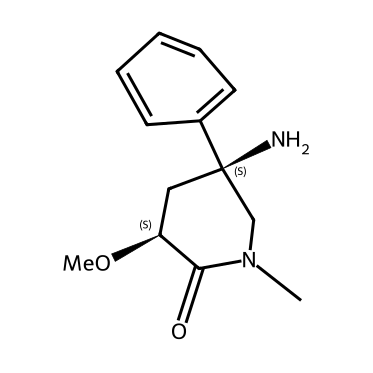 CO[C@H]1C[C@](N)(c2ccccc2)CN(C)C1=O